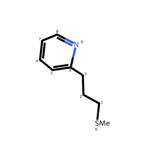 CSCCCc1c[c]ccn1